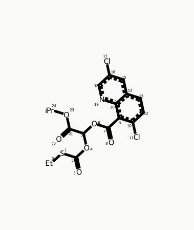 CCSC(=O)OC(OC(=O)c1c(Cl)ccc2cc(Cl)cnc12)C(=O)OC(C)C